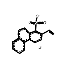 C=Cc1ccc2c(ccc3ccccc32)c1S(=O)(=O)[O-].[Li+]